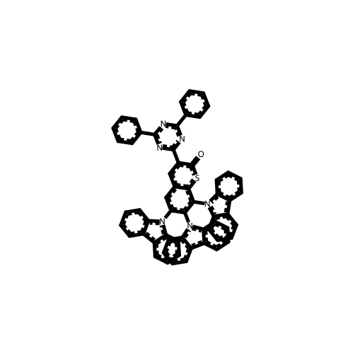 O=c1sc2c(-n3c4ccccc4c4ccccc43)c(-n3c4ccccc4c4ccccc43)c(-n3c4ccccc4c4ccccc43)cc2cc1-c1nc(-c2ccccc2)nc(-c2ccccc2)n1